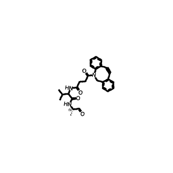 CC(C)C(NC(=O)CCC(=O)N1Cc2ccccc2C#Cc2ccccc21)C(=O)N[C@@H](C)C=O